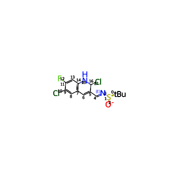 CC(C)(C)[S+]([O-])/N=C/C1=Cc2cc(Cl)c(F)cc2NC1Cl